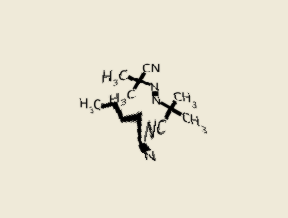 CC(C)(C#N)N=NC(C)(C)C#N.CCCCC#N